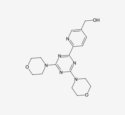 OCc1ccc(-c2nc(N3CCOCC3)nc(N3CCOCC3)n2)nc1